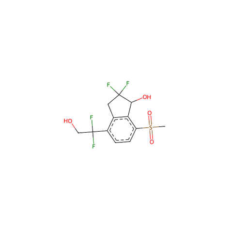 CS(=O)(=O)c1ccc(C(F)(F)CO)c2c1C(O)C(F)(F)C2